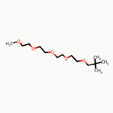 COCCOCCOCCOCCOCC(C)(C)C